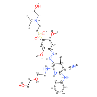 COc1cc(S(=O)(=O)CCN(CCO)C(C)C)c(OC)cc1/N=N/c1c(NCCOCCO)nc(Nc2ccccc2)c(C#N)c1C